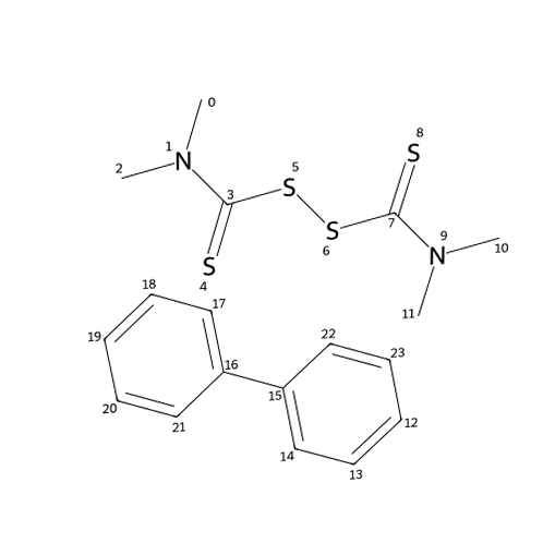 CN(C)C(=S)SSC(=S)N(C)C.c1ccc(-c2ccccc2)cc1